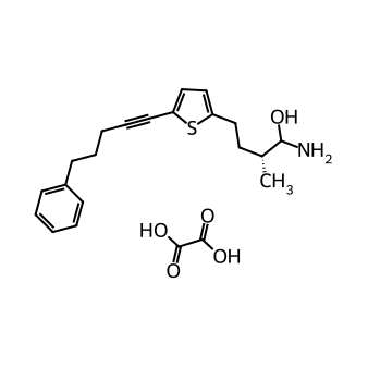 C[C@H](CCc1ccc(C#CCCCc2ccccc2)s1)C(N)O.O=C(O)C(=O)O